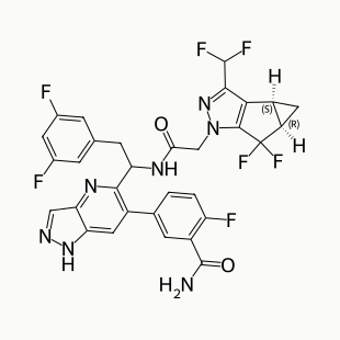 NC(=O)c1cc(-c2cc3[nH]ncc3nc2C(Cc2cc(F)cc(F)c2)NC(=O)Cn2nc(C(F)F)c3c2C(F)(F)[C@@H]2C[C@H]32)ccc1F